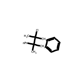 CCCC(C)(C)C(C)(C)Cl.c1ccccc1